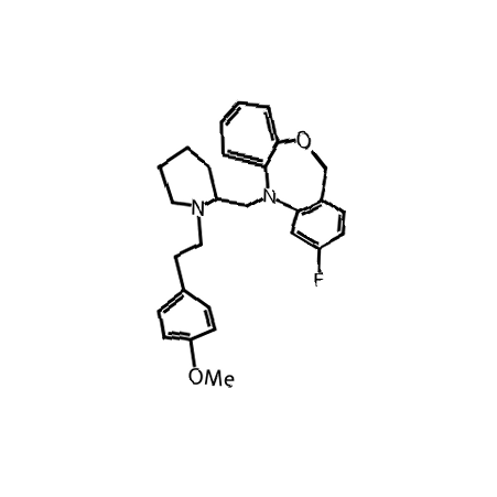 COc1ccc(CCN2CCCCC2CN2c3cc(F)ccc3COc3ccccc32)cc1